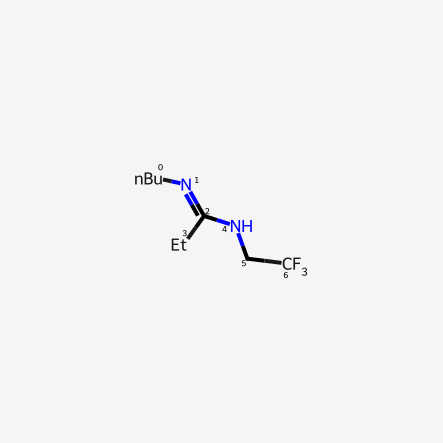 CCCC/N=C(\CC)NCC(F)(F)F